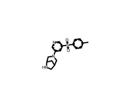 Cc1ccc(S(=O)(=O)c2cncc(N3CC4CNC(C4)C3)c2)cc1